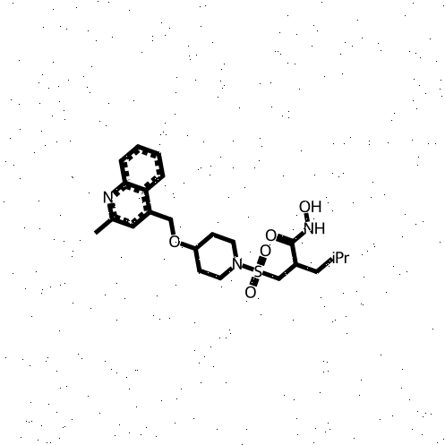 Cc1cc(COC2CCN(S(=O)(=O)CC(CC(C)C)C(=O)NO)CC2)c2ccccc2n1